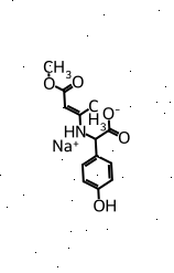 COC(=O)/C=C(\C)NC(C(=O)[O-])c1ccc(O)cc1.[Na+]